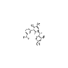 CC(=O)c1cn(C(C)c2ccc(C#N)cc2F)c(C)c(-c2cccc(C(F)F)c2)c1=O